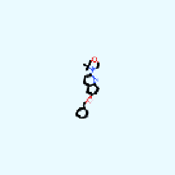 CC1(C)COCCN1c1ccc2cc(OCc3ccccc3)ccc2n1